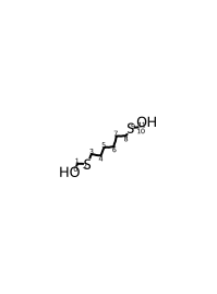 OCSCCCCCCSCO